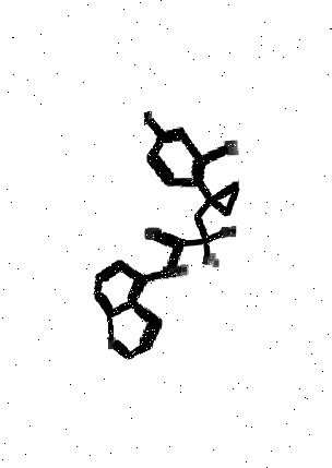 O=C(Nc1cccc2ncccc12)C(O)(CC1(c2ccc(F)cc2Cl)CC1)C(F)(F)F